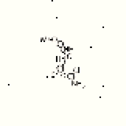 COc1ccc2[nH]c(C(=O)NCc3ccc(Cl)c(Oc4cc(N)cc(Cl)c4)c3)cc2c1